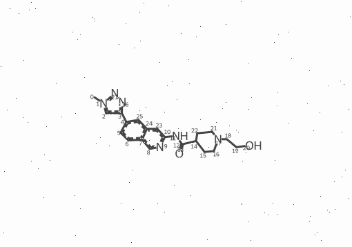 Cn1cc(-c2ccc3cnc(NC(=O)C4CCN(CCO)CC4)cc3c2)nn1